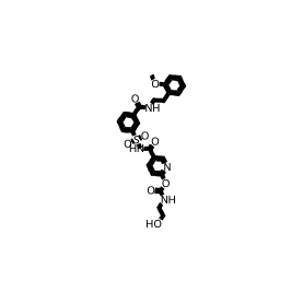 COc1ccccc1CCNC(=O)c1cccc(S(=O)(=O)NC(=O)c2ccc(OC(=O)NCCO)nc2)c1